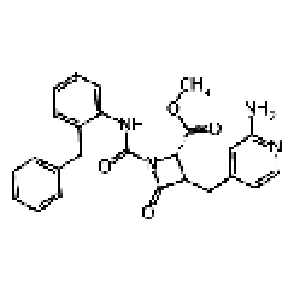 COC(=O)[C@@H]1C(Cc2ccnc(N)c2)C(=O)N1C(=O)Nc1ccccc1Cc1ccccc1